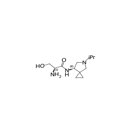 CC(C)N1C[C@H](NC(=O)[C@@H](N)CO)C2(CC2)C1